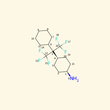 N[C@H]1CC[C@@H](C(C2CCCCC2)(C(F)(F)F)C(F)(F)F)CC1